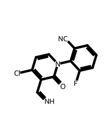 N#Cc1cccc(F)c1-n1ccc(Cl)c(C=N)c1=O